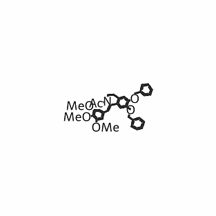 COc1cc(C=C2c3cc(OCc4ccccc4)c(OCc4ccccc4)cc3CCN2C(C)=O)cc(OC)c1OC